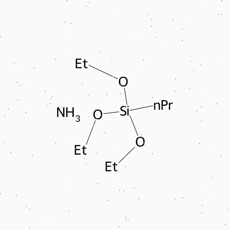 CCC[Si](OCC)(OCC)OCC.N